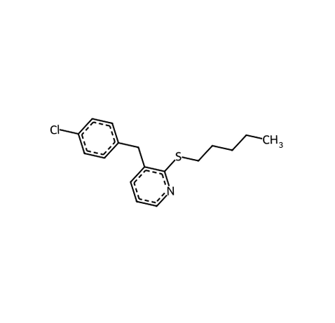 CCCCCSc1ncccc1Cc1ccc(Cl)cc1